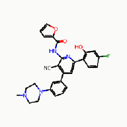 CN1CCN(c2cccc(-c3cc(-c4ccc(F)cc4O)nc(NC(=O)c4ccco4)c3C#N)c2)CC1